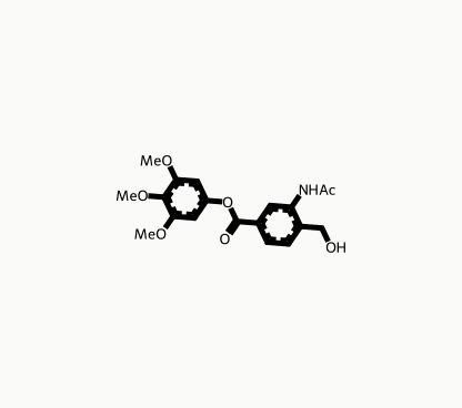 COc1cc(OC(=O)c2ccc(CO)c(NC(C)=O)c2)cc(OC)c1OC